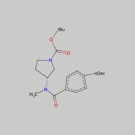 CCCCCCCCCCc1ccc(C(=O)N(C)[C@@H]2CCN(C(=O)OC(C)(C)C)C2)cc1